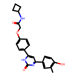 Cc1cc(-c2cc(-c3ccc(OCC(=O)NC4CCC4)cc3)[nH]c(=O)n2)ccc1O